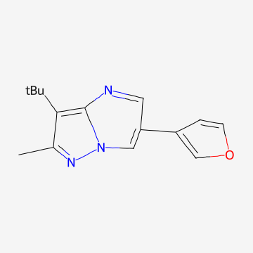 Cc1nn2cc(-c3ccoc3)cnc2c1C(C)(C)C